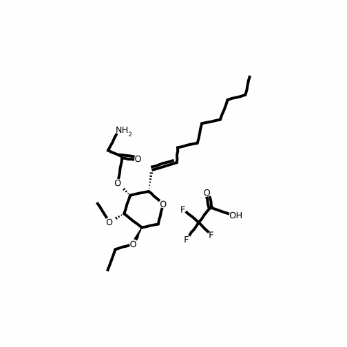 CCCCCCC/C=C/[C@@H]1OC[C@@H](OCC)[C@H](OC)[C@@H]1OC(=O)CN.O=C(O)C(F)(F)F